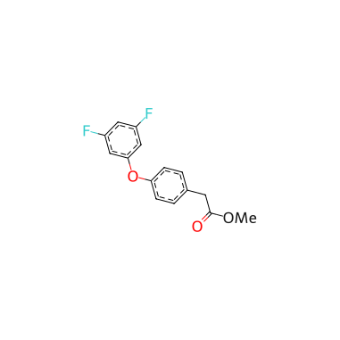 COC(=O)Cc1ccc(Oc2cc(F)cc(F)c2)cc1